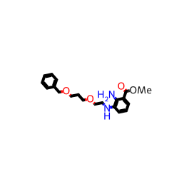 COC(=O)c1cccc(NCCOCCCOCc2ccccc2)c1N